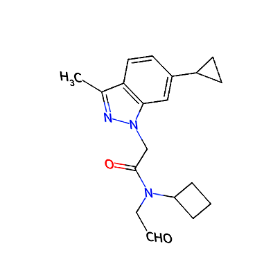 Cc1nn(CC(=O)N(CC=O)C2CCC2)c2cc(C3CC3)ccc12